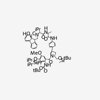 COc1cc(C(=O)N2C=C(c3ccc(NC(=O)C(C)NC(=O)C(C(C)C)N(CC4c5ccccc5-c5ccccc54)C(=O)O)cc3)CC2CO[Si](C)(C)C(C)(C)C)c(NC(=O)OC(C)(C)C)cc1O[Si](C(C)C)(C(C)C)C(C)C